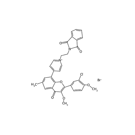 COc1ccc(-c2oc3c(-c4cc[n+](CCN5C(=O)c6ccccc6C5=O)cc4)cc(C)cc3c(=O)c2OC)cc1Cl.[Br-]